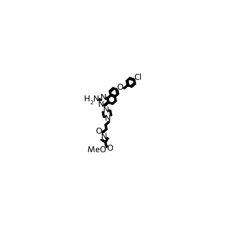 COC(=O)C1CN(C(=O)CCCN2CCN(c3nc(N)nc4c3CCc3cc(OCc5ccc(Cl)cc5)ccc3-4)CC2)C1